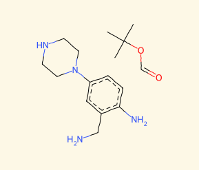 CC(C)(C)OC=O.NCc1cc(N2CCNCC2)ccc1N